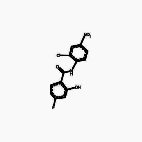 O=C(Nc1ccc([N+](=O)[O-])cc1Cl)c1ccc(F)cc1O